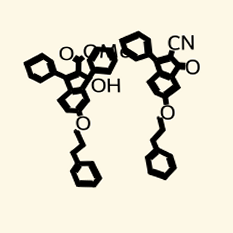 COC(=O)C1=C(c2ccccc2)c2ccc(OCCCc3ccccc3)cc2C1(O)c1ccccc1.N#CC1=C(c2ccccc2)c2ccc(OCCCc3ccccc3)cc2C1=O